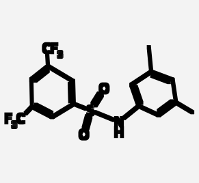 Cc1cc(C)cc(NS(=O)(=O)c2cc(C(F)(F)F)cc(C(F)(F)F)c2)c1